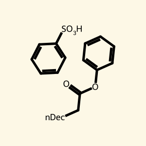 CCCCCCCCCCCC(=O)Oc1ccccc1.O=S(=O)(O)c1ccccc1